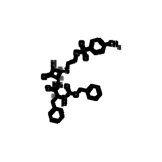 Cc1ccc(S(=O)(=O)OCCS[C@H]2NC(=O)[C@H]2NC(=O)[C@H](Cc2ccccc2)NC(=O)OCc2ccccc2)cc1